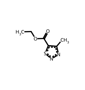 CCOC(=O)c1snnc1C